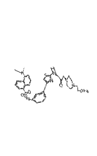 CN(C)c1cccc2c(S(=O)(=O)Nc3cccc(-c4csc(NC(=O)CN5CCN(CCO)CC5)n4)c3)cccc12